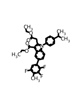 CCOC(=O)Cc1c(C(=O)OCC)c2cc(-c3cc(F)c(C)c(F)c3F)ccc2n1-c1ccc(C(C)C)cc1